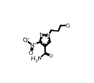 NC(=O)c1cn(CCCCl)nc1[N+](=O)[O-]